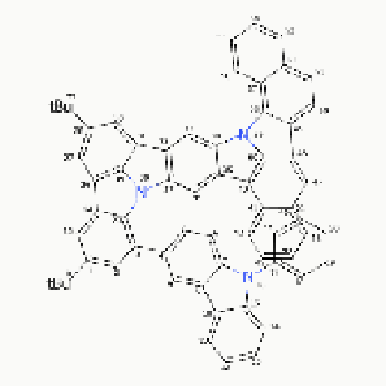 CC(C)(C)c1cc(-c2ccc3c(c2)c2ccccc2n3-c2ccccc2)c2c(c1)c1cc(C(C)(C)C)cc3c4cc5c(cc4n2c31)c1c2ccccc2cc2c3ccc4ccccc4c3n5c21